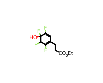 CCOC(=O)CCC1=C(F)C(F)C(O)(F)C(F)=C1